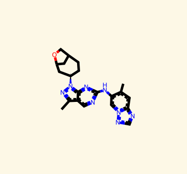 Cc1cc2ncnn2cc1Nc1ncc2c(C)nn([C@@H]3CCC4COC(C4)C3)c2n1